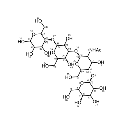 CC(=O)NC1C(O)[C@H](O[C@@H]2OC(CO)[C@H](O)C(O)C2O)C(CO)O[C@H]1OC1C(O)[C@H](O[C@@H]2C(CO)OC(O)C(O)C2O)OC(CO)[C@@H]1O